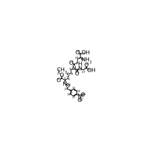 CCOC(=O)C(CSCCN(C(=O)CCC(N)C(=O)O)C(=O)NCC(=O)O)=NOCc1ccc([N+](=O)[O-])cc1